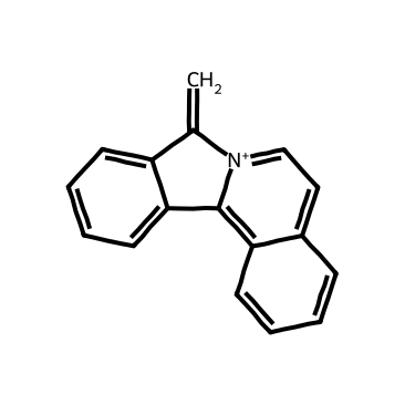 C=C1c2ccccc2-c2c3ccccc3cc[n+]21